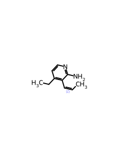 C/C=C\c1c(CC)ccnc1N